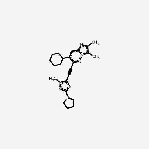 Cc1nc2cc(C3CCCCC3)c(C#Cc3nc(N4CCCC4)nn3C)nn2c1C